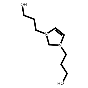 OCCCN1C=CN(CCCO)C1